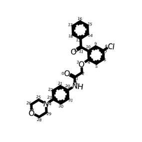 O=C(COc1ccc(Cl)cc1C(=O)c1ccccc1)Nc1ccc(N2CCOCC2)cc1